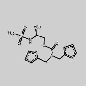 CCCC[C@@H](COC(=O)N(Cc1cccs1)Cc1cccs1)NS(C)(=O)=O